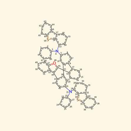 c1ccc(N(c2ccc3c(c2)C2(c4ccccc4-3)c3cc(N(c4ccccc4)c4cccc5c4sc4ccccc45)ccc3-c3c2oc2ccccc32)c2cccc3c2sc2ccccc23)cc1